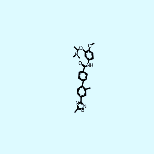 COc1ccc(NC(=O)c2ccc(-c3ccc(-c4noc(C)n4)cc3C)cc2)cc1OC(C)N(C)C